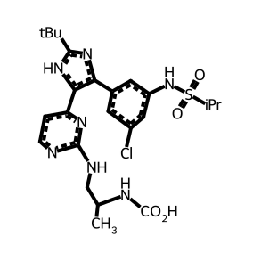 CC(CNc1nccc(-c2[nH]c(C(C)(C)C)nc2-c2cc(Cl)cc(NS(=O)(=O)C(C)C)c2)n1)NC(=O)O